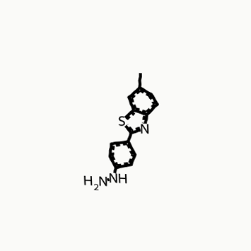 Cc1ccc2nc(-c3ccc(NN)cc3)sc2c1